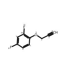 C#CCOc1ccc(F)[c]c1F